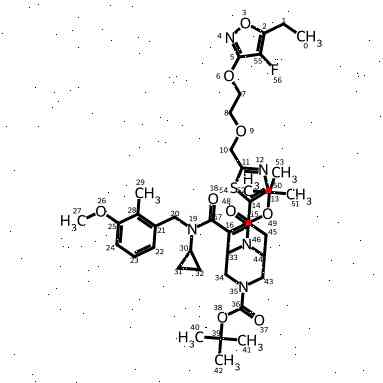 CCc1onc(OCCOCc2ncc(C3=C(C(=O)N(Cc4cccc(OC)c4C)C4CC4)C4CN(C(=O)OC(C)(C)C)CC(C3)N4C(=O)OC(C)(C)C)s2)c1F